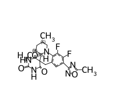 Cc1nc(-c2cc3c(c(F)c2F)N2C[C@@H](C)C[C@@H](C)[C@@H]2C2(C3)C(=O)NC(=O)NC2=O)no1